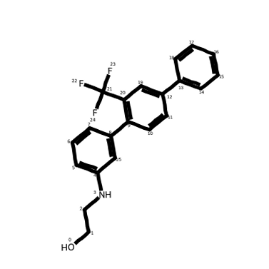 OCCNc1cc[c]c(-c2ccc(-c3ccccc3)cc2C(F)(F)F)c1